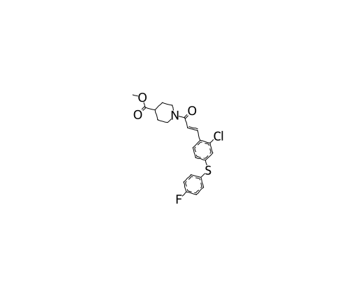 COC(=O)C1CCN(C(=O)/C=C/c2ccc(Sc3ccc(F)cc3)cc2Cl)CC1